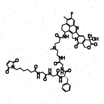 CC[C@@]1(O)C(=O)OCc2c1cc1n(c2=O)Cc2c-1nc1cc(F)c(C)c3c1c2[C@@H](NC(=O)CCN(C)CCNC(=O)CNC(=O)[C@H](Cc1ccccc1)NC(=O)CNC(=O)CNC(=O)CCCCCN1C(=O)C=CC1=O)CC3